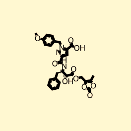 COc1ccc(Cn2nc(C(=O)N[C@H](Cc3ccccc3)[C@@H](O)C(=O)OCc3oc(=O)oc3C)cc2C(=O)O)cc1